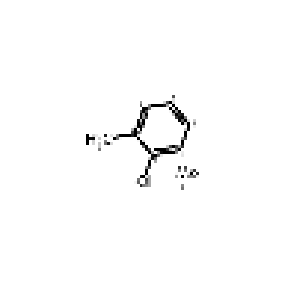 Cc1ccccc1O.[Mo]